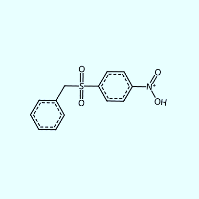 O=[N+](O)c1ccc(S(=O)(=O)Cc2ccccc2)cc1